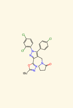 CC(C)(C)c1nnc(-c2nn(-c3ccc(Cl)cc3Cl)c(-c3ccc(Cl)cc3)c2CN2CCCC2=O)o1